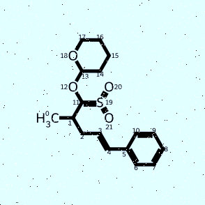 CC(CC=Cc1ccccc1)C(OC1CCCCO1)=S(=O)=O